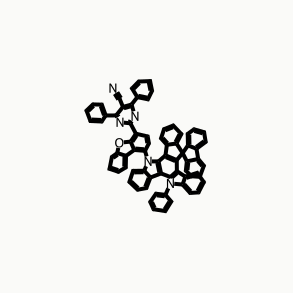 N#Cc1c(-c2ccccc2)nc(-c2ccc(-n3c4ccccc4c4c3c3c(c5c6ccccc6n(-c6ccccc6)c54)C4(c5ccccc5-c5ccccc54)c4ccccc4-3)c3c2oc2ccccc23)nc1-c1ccccc1